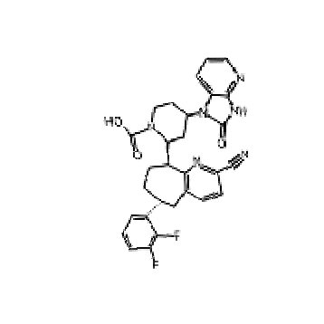 N#Cc1ccc2c(n1)[C@H](C1CC(n3c(=O)[nH]c4ncccc43)CCN1C(=O)O)CC[C@@H](c1cccc(F)c1F)C2